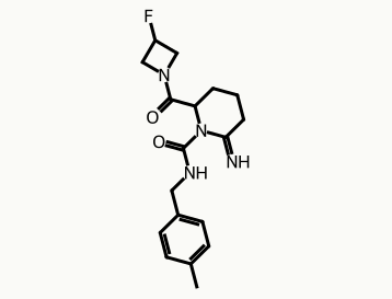 Cc1ccc(CNC(=O)N2C(=N)CCCC2C(=O)N2CC(F)C2)cc1